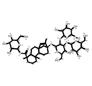 CC1=CC23CCC4C(C)(C(=O)OC5OC(CO)C(O)C(O)C5O)CCCC4(I)C2CCC1(OC1OC(CO)C(O)C(OC2OC(CO)C(O)C(O)C2O)C1OC1OC(CO)C(O)C(O)C1O)C3